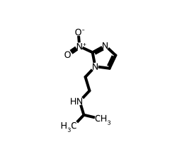 CC(C)NCCn1ccnc1[N+](=O)[O-]